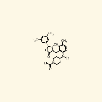 CCC(=O)N1CCC(N(CC)c2ncc(C)cc2CN2C(=O)O[C@H](c3cc(C)cc(C(F)(F)F)c3)[C@@H]2C)CC1